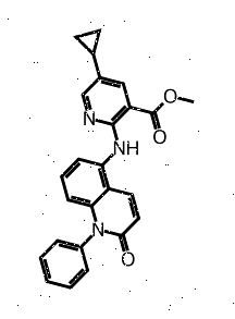 COC(=O)c1cc(C2CC2)cnc1Nc1cccc2c1ccc(=O)n2-c1ccccc1